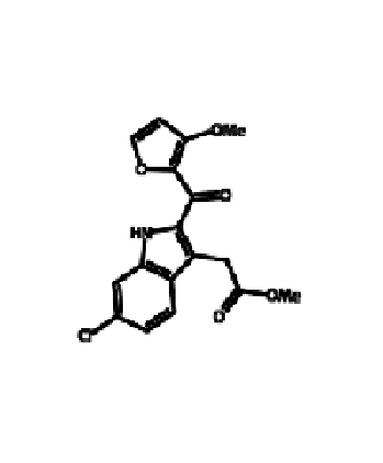 COC(=O)Cc1c(C(=O)c2occc2OC)[nH]c2cc(Cl)ccc12